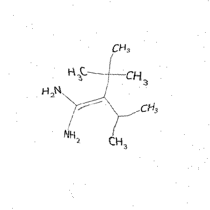 CC(C)C(=C(N)N)C(C)(C)C